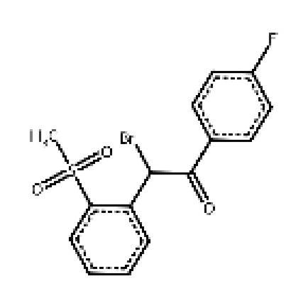 CS(=O)(=O)c1ccccc1C(Br)C(=O)c1ccc(F)cc1